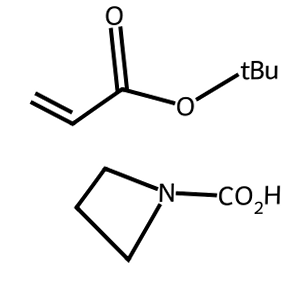 C=CC(=O)OC(C)(C)C.O=C(O)N1CCC1